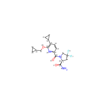 NC(=O)[C@@H]1CC(F)(F)CN1C(=O)c1ccc(C2CC2)c(OCC2CC2)n1